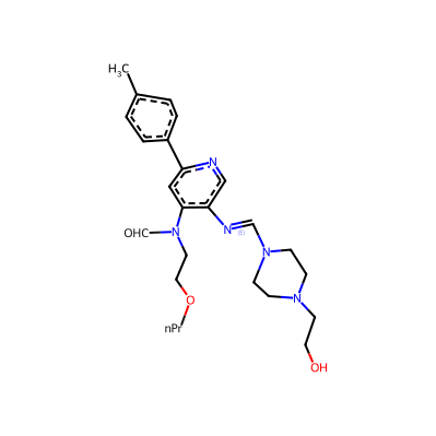 CCCOCCN(C=O)c1cc(-c2ccc(C)cc2)ncc1/N=C/N1CCN(CCO)CC1